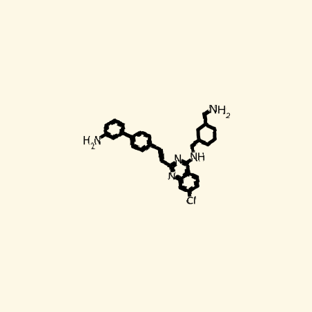 NCC1CCCC(CNc2nc(/C=C/c3ccc(-c4cccc(N)c4)cc3)nc3cc(Cl)ccc23)C1